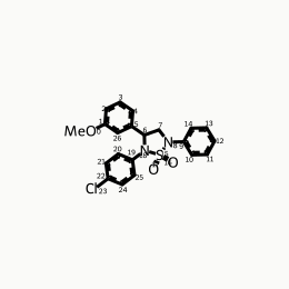 COc1cccc(C2CN(c3ccccc3)S(=O)(=O)N2c2ccc(Cl)cc2)c1